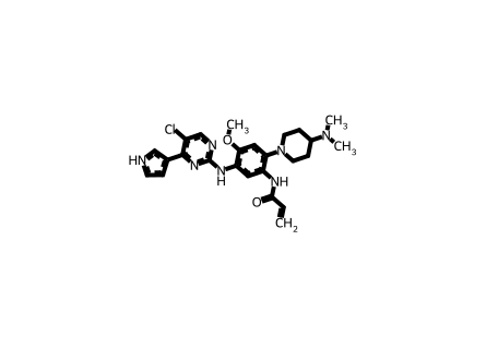 C=CC(=O)Nc1cc(Nc2ncc(Cl)c(-c3cc[nH]c3)n2)c(OC)cc1N1CCC(N(C)C)CC1